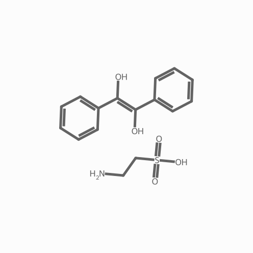 NCCS(=O)(=O)O.OC(=C(O)c1ccccc1)c1ccccc1